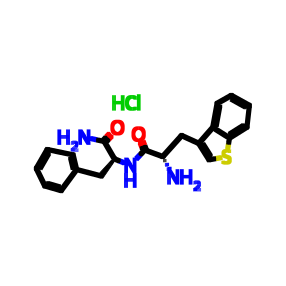 Cl.NC(=O)[C@H](Cc1ccccc1)NC(=O)[C@@H](N)Cc1csc2ccccc12